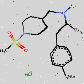 CCN(CC1CCN(S(C)(=O)=O)CC1)C(C)Cc1ccc(SC)cc1.Cl